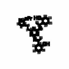 CCCc1nccn1CCc1nc(/N=C(\C)c2ccccc2O)nc(/N=C(\C)c2ccccc2O)n1